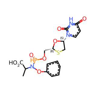 CC(C(=O)O)N(Oc1ccccc1)[PH](=O)OC[C@@H]1O[C@H](n2ccc(=O)[nH]c2=O)CS1